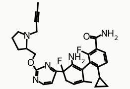 CC#CCN1CCCC1COc1nccc(C2(F)CC=C(C)C(c3c(C4CC4)ccc(C(N)=O)c3F)=C2N)n1